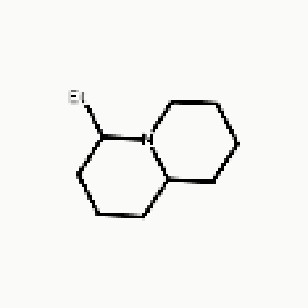 CCC1CCCC2CCCCN12